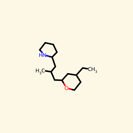 CCC1CCOC(CC(C)CC2CCCCN2)C1